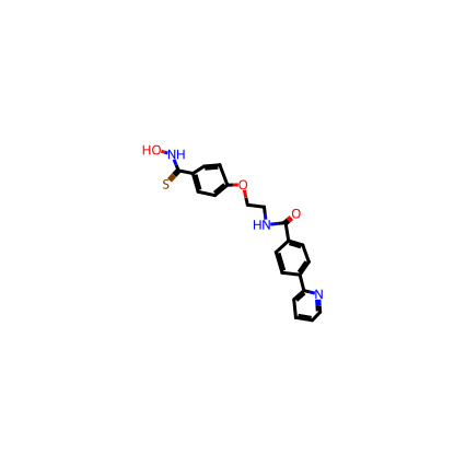 O=C(NCCOc1ccc(C(=S)NO)cc1)c1ccc(-c2ccccn2)cc1